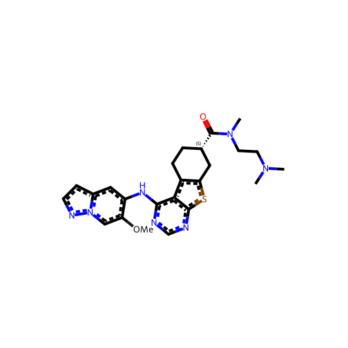 COc1cn2nccc2cc1Nc1ncnc2sc3c(c12)CC[C@H](C(=O)N(C)CCN(C)C)C3